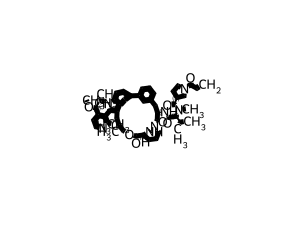 C=CC(=O)N1CC[C@H](C(=O)N(C)[C@H](C(=O)N[C@H]2Cc3cccc(c3)-c3ccc4c(c3)c(c(-c3c([C@H](C)OC)ccnc3C)n4CC)CC(C)(C)COC(=O)[C@@H]3CCCN(N3)C2=O)C(C)C)C1